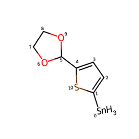 [SnH3][c]1ccc(C2OCCO2)s1